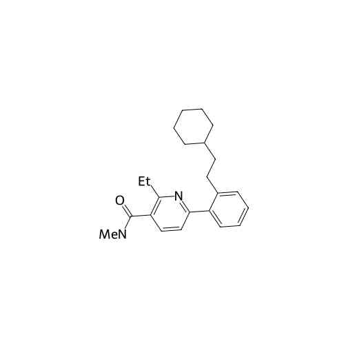 CCc1nc(-c2ccccc2CCC2CCCCC2)ccc1C(=O)NC